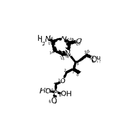 C=C(COCP(=O)(O)O)C(CO)n1ccc(N)nc1=O